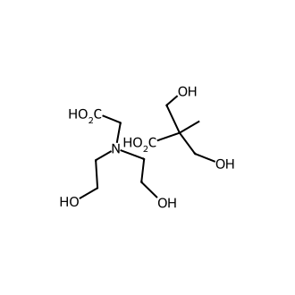 CC(CO)(CO)C(=O)O.O=C(O)CN(CCO)CCO